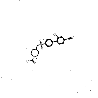 CC(=O)N1CCC(CS(=O)(=O)c2ccc(-c3ccc(C#N)cc3Cl)cc2)CC1